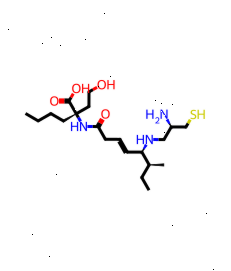 CCCC[C@@](CCO)(NC(=O)C/C=C/[C@@H](NC[C@@H](N)CS)[C@@H](C)CC)C(=O)O